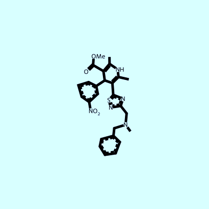 COC(=O)C1=C(C)NC(C)=C(c2nc(CN(C)Cc3ccccc3)ns2)C1c1cccc([N+](=O)[O-])c1